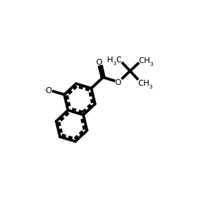 CC(C)(C)OC(=O)c1cc([O])c2ccccc2c1